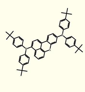 CC(C)(C)c1ccc(B(c2ccc(C(C)(C)C)cc2)c2ccc3c(c2)Sc2cccc4c(B(c5ccc(C(C)(C)C)cc5)c5ccc(C(C)(C)C)cc5)ccc-3c24)cc1